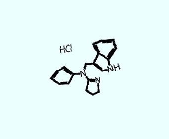 Cl.c1ccc(N(Cc2c[nH]c3ccccc23)C2=NCCC2)cc1